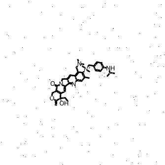 C=C1OCc2c(cc3n(c2=O)Cc2cc4c(CN(C)C)c([N+](C)(C)Cc5ccc(NC(C)C)cc5)c(C)cc4nc2-3)[C@@]1(O)CC